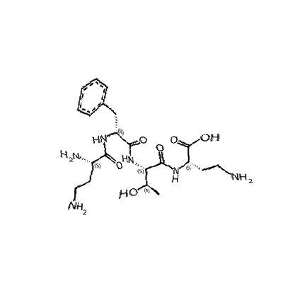 C[C@@H](O)[C@H](NC(=O)[C@@H](Cc1ccccc1)NC(=O)[C@@H](N)CCN)C(=O)N[C@@H](CCN)C(=O)O